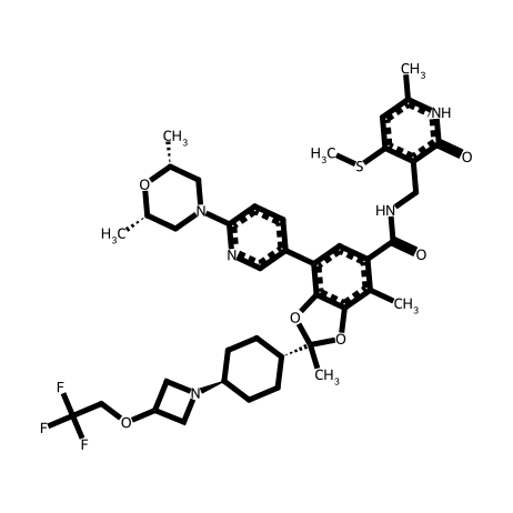 CSc1cc(C)[nH]c(=O)c1CNC(=O)c1cc(-c2ccc(N3C[C@@H](C)O[C@@H](C)C3)nc2)c2c(c1C)OC(C)([C@H]1CC[C@H](N3CC(OCC(F)(F)F)C3)CC1)O2